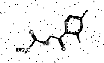 CCOC(=O)C(=O)NCC(=O)c1ccc(C)cc1C